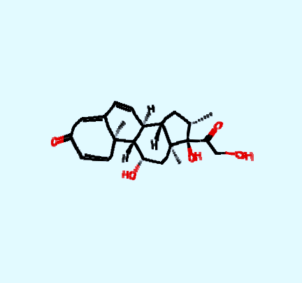 C[C@H]1C[C@H]2[C@@H]3C=CC4=CC(=O)C=C[C@]4(C)[C@H]3[C@@H](O)C[C@]2(C)[C@@]1(O)C(=O)CO